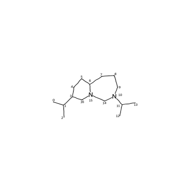 CC(C)C1CCC2CCCN(C(C)C)CN2C1